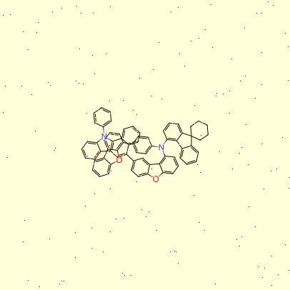 c1ccc(-n2c3ccccc3c3cc(-c4ccc5oc6cccc(N(c7ccc(-c8cccc9c8oc8ccccc89)cc7)c7cccc8c7-c7ccccc7C87CCCCC7)c6c5c4)c4ccccc4c32)cc1